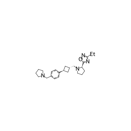 CCc1noc([C@H]2CCCN2C[C@H]2C[C@H](c3ccc(CN4CCCC4)cc3)C2)n1